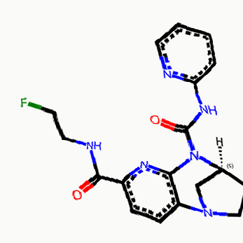 O=C(NCCF)c1ccc2c(n1)N(C(=O)Nc1ccccn1)[C@H]1CCN2C1